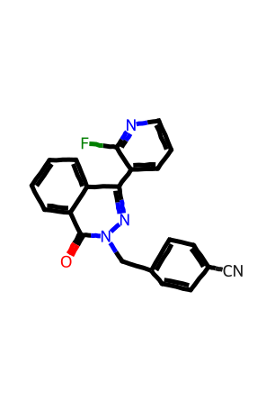 N#Cc1ccc(Cn2nc(-c3cccnc3F)c3ccccc3c2=O)cc1